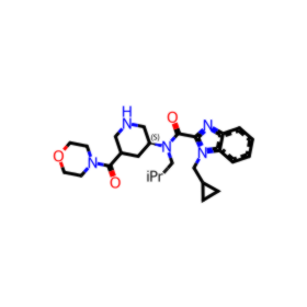 CC(C)CN(C(=O)c1nc2ccccc2n1CC1CC1)[C@@H]1CNCC(C(=O)N2CCOCC2)C1